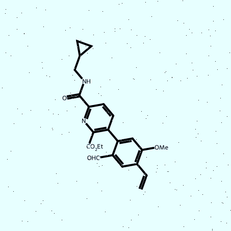 C=Cc1cc(C=O)c(-c2ccc(C(=O)NCC3CC3)nc2C(=O)OCC)cc1OC